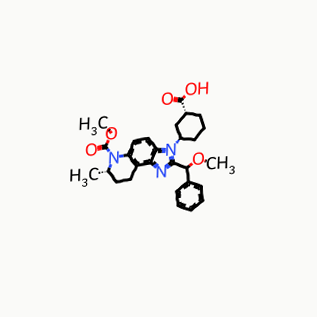 COC(=O)N1c2ccc3c(nc(C(OC)c4ccccc4)n3[C@@H]3CCC[C@@H](C(=O)O)C3)c2CC[C@@H]1C